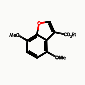 CCOC(=O)c1coc2c(OC)ccc(OC)c12